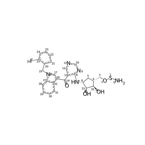 NSOC[C@H]1C[C@@H](Nc2ncncc2C(=O)c2cn(Cc3ccccc3F)c3ccccc23)[C@H](O)[C@@H]1O